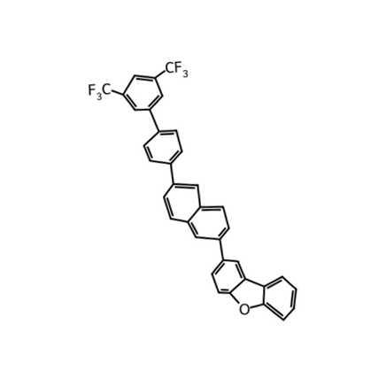 FC(F)(F)c1cc(-c2ccc(-c3ccc4cc(-c5ccc6oc7ccccc7c6c5)ccc4c3)cc2)cc(C(F)(F)F)c1